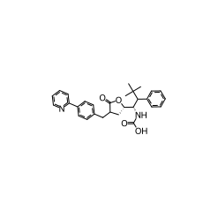 CC(C)(C)C(c1ccccc1)[C@H](NC(=O)O)[C@@H]1CC(Cc2ccc(-c3ccccn3)cc2)C(=O)O1